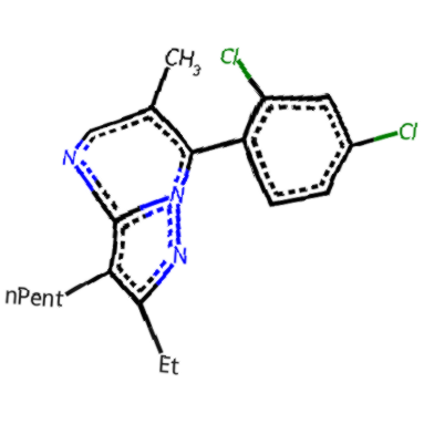 CCCCCc1c(CC)nn2c(-c3ccc(Cl)cc3Cl)c(C)cnc12